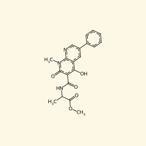 COC(=O)C(C)NC(=O)c1c(O)c2cc(-c3ccccc3)cnc2n(C)c1=O